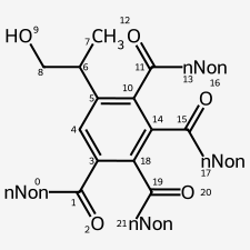 CCCCCCCCCC(=O)c1cc(C(C)CO)c(C(=O)CCCCCCCCC)c(C(=O)CCCCCCCCC)c1C(=O)CCCCCCCCC